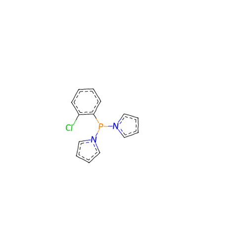 Clc1ccccc1P(n1cccc1)n1cccc1